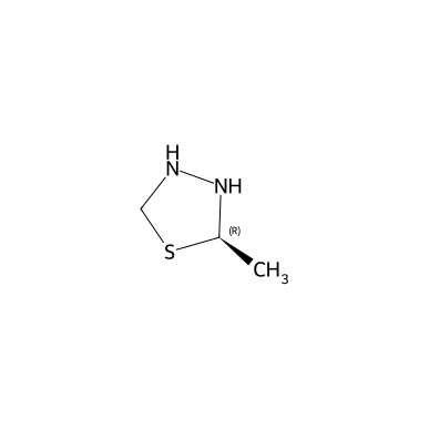 C[C@@H]1NNCS1